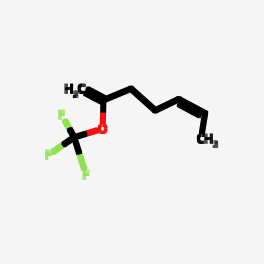 C=C(CC/C=C\C)OC(F)(F)F